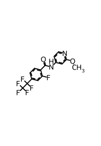 COc1cc(NC(=O)c2ccc(C(F)(F)C(F)(F)F)cc2F)ccn1